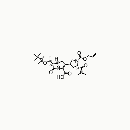 C=CCOC(=O)N1CC(C2=C(C(=O)O)N3C(=O)[C@H]([C@@H](C)O[Si](C)(C)C(C)(C)C)[C@H]3C2)C[C@H]1C(=O)N(C)C